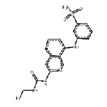 CCNC(=O)Nc1cc2cccc(Nc3cccc(S(N)(=O)=O)c3)c2cn1